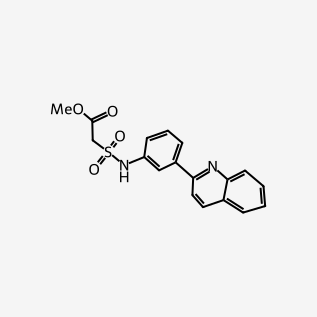 COC(=O)CS(=O)(=O)Nc1cccc(-c2ccc3ccccc3n2)c1